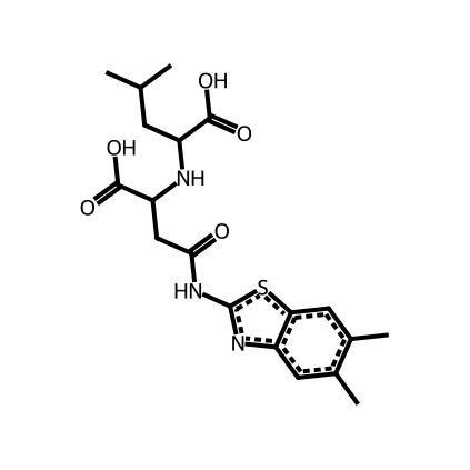 Cc1cc2nc(NC(=O)CC(NC(CC(C)C)C(=O)O)C(=O)O)sc2cc1C